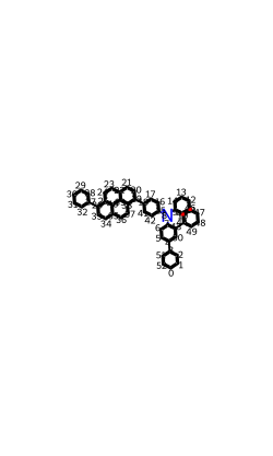 c1ccc(-c2ccc(N(c3ccccc3)c3ccc(-c4ccc5ccc6c(-c7ccccc7)ccc7ccc4c5c76)cc3)c(-c3ccccc3)c2)cc1